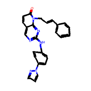 O=c1ccc2cnc(Nc3ccc(-n4cccn4)cc3)nc2n1CC=Cc1ccccc1